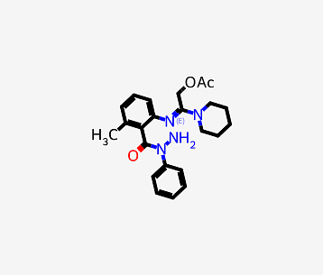 CC(=O)OC/C(=N\c1cccc(C)c1C(=O)N(N)c1ccccc1)N1CCCCC1